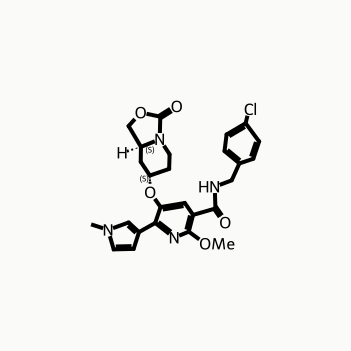 COc1nc(-c2ccn(C)c2)c(O[C@H]2CCN3C(=O)OC[C@@H]3C2)cc1C(=O)NCc1ccc(Cl)cc1